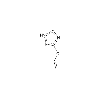 C=COc1nc[nH]n1